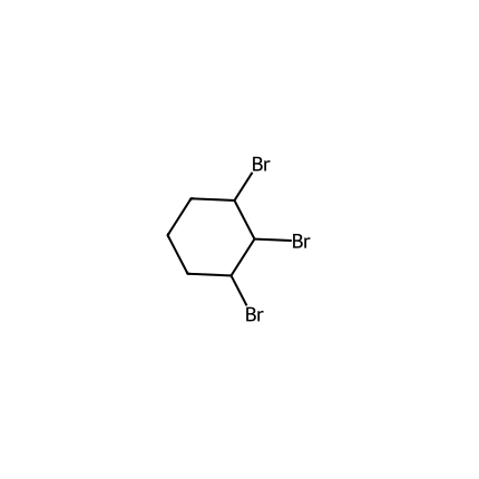 BrC1CCCC(Br)C1Br